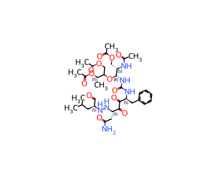 CC(=O)N[C@@H](COC(C)=O)[C@H](NC(=O)N[C@@H](Cc1ccccc1)C(=O)C(=O)[C@H](CC(N)=O)NN[C@H](C=O)CC(C)C)OC(COC(C)=O)[C@H](C)OC(C)=O